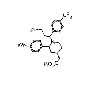 CCCc1ccc([C@@H]2C[C@H](CC(=O)O)CCN2C(CCC(C)C)c2ccc(C(F)(F)F)cc2)cc1